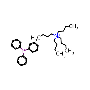 CCCC[N+](CCCC)(CCCC)CCCC.c1ccc(P(c2ccccc2)c2ccccc2)cc1